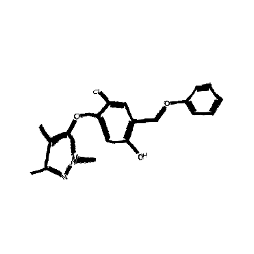 Cc1nn(C)c(Oc2cc(O)c(COc3ccccc3)cc2Cl)c1C